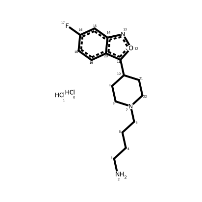 Cl.Cl.NCCCCN1CCC(c2onc3cc(F)ccc23)CC1